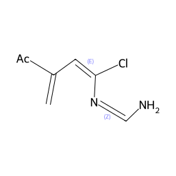 C=C(/C=C(Cl)\N=C/N)C(C)=O